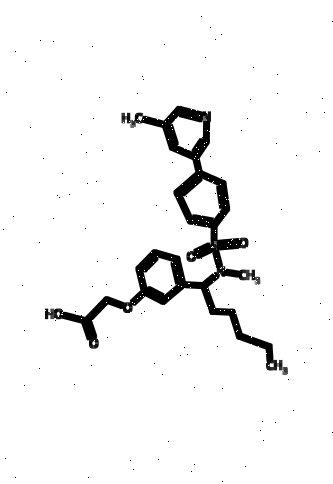 CCCCCC(c1cccc(OCC(=O)O)c1)N(C)S(=O)(=O)c1ccc(-c2cncc(C)c2)cc1